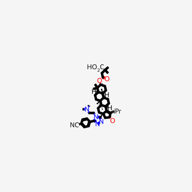 CC(C)C1=C2[C@H]3CC[C@@H]4[C@@]5(C)CC[C@H](OC(=O)CC(C)(C)C(=O)O)C(C)(C)[C@@H]5CC[C@@]4(C)[C@]3(C)CC[C@@]2(c2nnc(-c3ccc(C#N)cc3)n2CCN(C)C)CC1=O